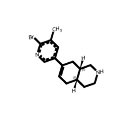 Cc1cc(C2=CC[C@H]3CCNC[C@H]3C2)cnc1Br